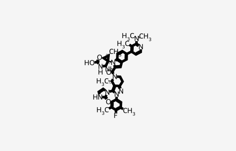 Cc1cc(-n2nc3c(c2-n2cc[nH]c2=O)[C@H](C)N(C(=O)c2cc4cc(-c5ccnc(N(C)C)c5C)ccc4n2[C@@]2(C(=N)NC(=O)O)C[C@@H]2C)CC3)cc(C)c1F